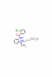 C=C(NCCCC(=O)O)c1ccccc1NC(=O)c1ccccc1Br